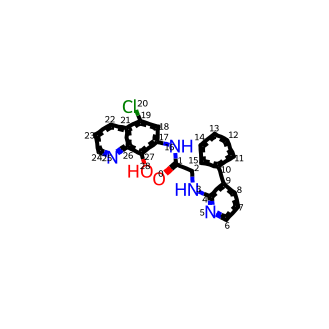 O=C(CNc1ncccc1-c1ccccc1)Nc1cc(Cl)c2cccnc2c1O